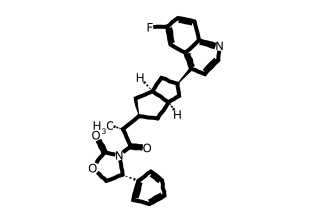 C[C@@H](C(=O)N1C(=O)OC[C@H]1c1ccccc1)[C@H]1C[C@H]2C[C@@H](c3ccnc4ccc(F)cc34)C[C@H]2C1